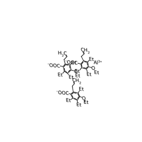 C=CCc1c(CC)c(OCC)c(CC)c(CC)c1C(=O)[O-].C=CCc1c(CC)c(OCC)c(CC)c(CC)c1C(=O)[O-].C=CCc1c(CC)c(OCC)c(CC)c(CC)c1C(=O)[O-].[Al+3]